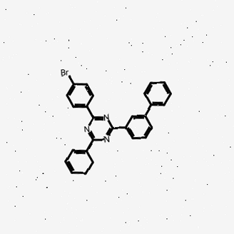 Brc1ccc(-c2nc(C3=CC=CCC3)nc(-c3cccc(-c4ccccc4)c3)n2)cc1